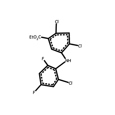 CCOC(=O)c1cc(Nc2c(F)cc(F)cc2Cl)c(Cl)cc1Cl